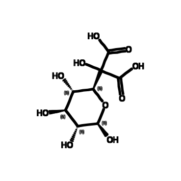 O=C(O)C(O)(C(=O)O)[C@H]1O[C@@H](O)[C@H](O)[C@@H](O)[C@@H]1O